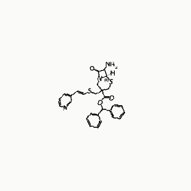 NC1C(=O)N2CC(CSC=Cc3cccnc3)(C(=O)OC(c3ccccc3)c3ccccc3)CS[C@H]12